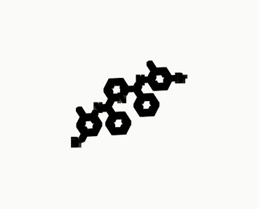 Cc1cc(Br)ccc1/N=C(\c1ccccc1)c1cccc(/C(=N/c2ccc(Br)cc2C)c2ccccc2)n1